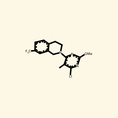 COc1nc(Cl)c(C)c(N2CCc3ccc(C(F)(F)F)cc3C2)n1